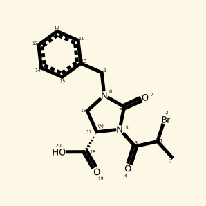 CC(Br)C(=O)N1C(=O)N(Cc2ccccc2)C[C@H]1C(=O)O